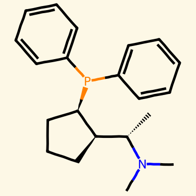 C[C@@H]([C@H]1CCC[C@H]1P(c1ccccc1)c1ccccc1)N(C)C